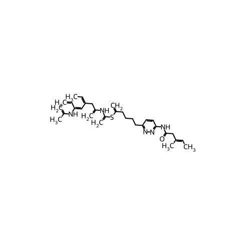 C=C/C(=C\C(=C/C)CC(=C)NC(=C)SC(=C)CCCCc1ccc(NC(=O)C/C(C)=C/C)nn1)NC(=C)C